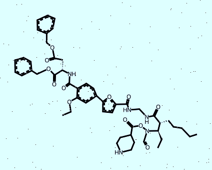 CCCCC[C@@H](C(=O)NCNC(=O)c1ccc(-c2ccc(C(=O)N[C@@H](CC(=O)OCc3ccccc3)C(=O)OCc3ccccc3)c(OCC)c2)o1)[C@@H](CC)N(C=O)OC(=O)C1CCNCC1